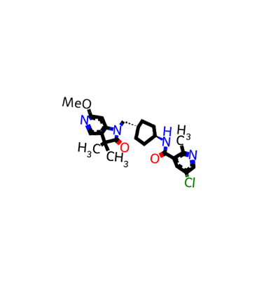 COc1cc2c(cn1)C(C)(C)C(=O)N2C[C@H]1CC[C@H](NC(=O)c2cc(Cl)cnc2C)CC1